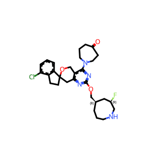 O=C1CCCN(c2nc(OC[C@@H]3CCCNC[C@H](F)C3)nc3c2COC2(CCc4c(Cl)cccc42)C3)CC1